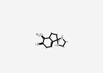 C=C1C(=O)CC=C2C1CCC21OCCO1